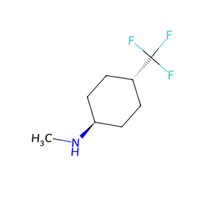 CN[C@H]1CC[C@H](C(F)(F)F)CC1